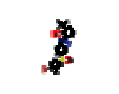 CC(C)(C)c1cccc(-n2nc3ccc([S+]([O-])c4ccc(Br)cc4)cc3n2)c1O